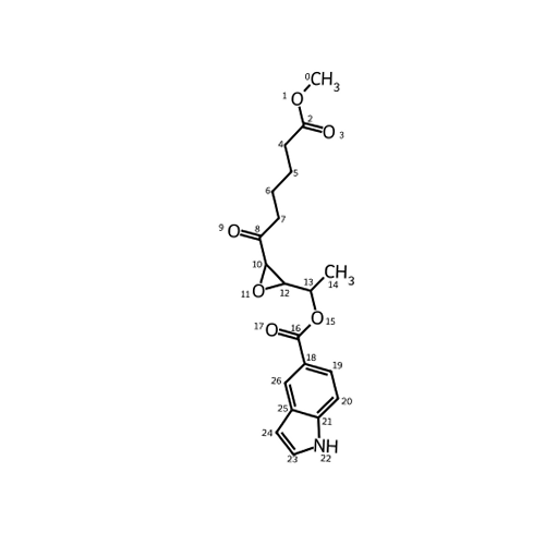 COC(=O)CCCCC(=O)C1OC1C(C)OC(=O)c1ccc2[nH]ccc2c1